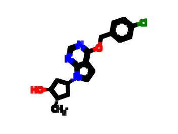 [CH2][C@H]1C[C@@H](n2ccc3c(OCc4ccc(Cl)cc4)ncnc32)C[C@@H]1O